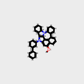 COc1cc2c3c4c1cccc4c1ccccc1n1c4ccccc4c(c31)n2-c1cccc(-c2ccccc2)c1